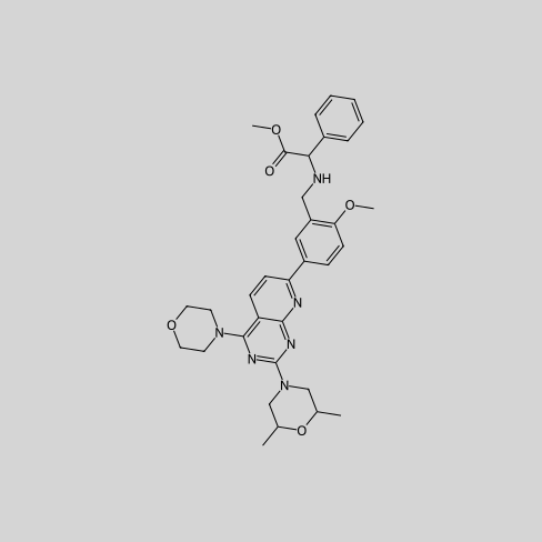 COC(=O)C(NCc1cc(-c2ccc3c(N4CCOCC4)nc(N4CC(C)OC(C)C4)nc3n2)ccc1OC)c1ccccc1